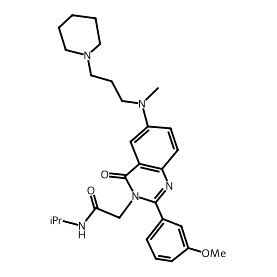 COc1cccc(-c2nc3ccc(N(C)CCCN4CCCCC4)cc3c(=O)n2CC(=O)NC(C)C)c1